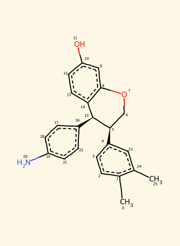 Cc1ccc([C@@H]2COc3cc(O)ccc3[C@@H]2c2ccc(N)cc2)cc1C